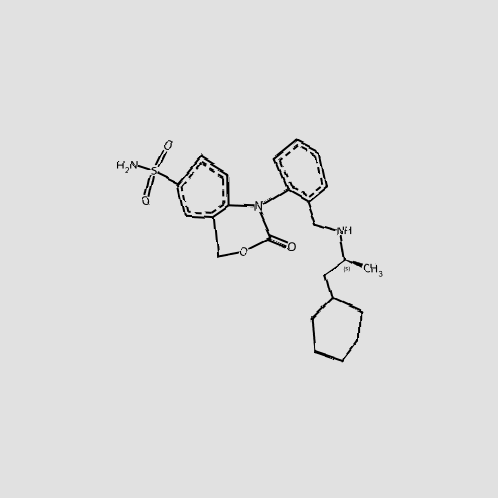 C[C@@H](CC1CCCCC1)NCc1ccccc1N1C(=O)OCc2cc(S(N)(=O)=O)ccc21